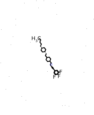 CCCCC[C@H]1CC[C@H](CCC2CCC(/C=C/C#Cc3cc(F)c(F)c(F)c3)CC2)CC1